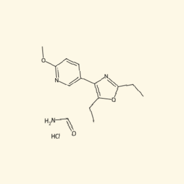 CCc1nc(-c2ccc(OC)nc2)c(CC)o1.Cl.NC=O